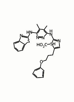 Cc1c(NC2=NC=C(CCCOc3ccccc3)[SH]2C(=O)O)nnc(Nc2nc3ccccc3s2)c1C